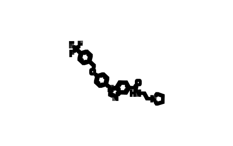 O=C(NCCN1CCCC1)c1ccc2c(c1)ncn2-c1ccc(OCc2ccc(C(F)(F)F)cc2)cc1